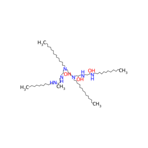 CCCCCCCCCCCCCCN(CCCCN(CCCCCCCCCCCCCC)CC(O)CNCCC(O)NCCCCCCCCCCCC)CC(O)CNCCC(C)NCCCCCCCCCCCC